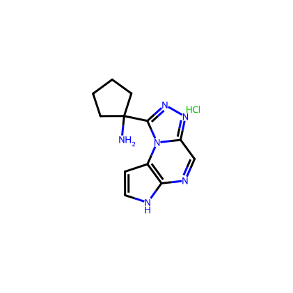 Cl.NC1(c2nnc3cnc4[nH]ccc4n23)CCCC1